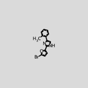 Cc1ccccc1-c1c[nH]c(-c2ccc(Br)o2)n1